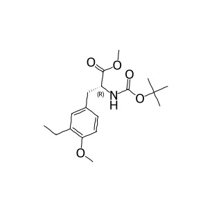 CCc1cc(C[C@@H](NC(=O)OC(C)(C)C)C(=O)OC)ccc1OC